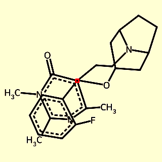 Cc1nc(C)n(C)c(=O)c1CCN1C2CCC1CC(OCc1ccccc1F)C2